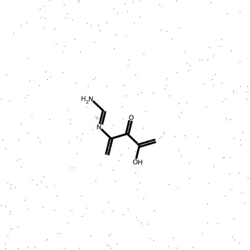 C=C(O)C(=O)C(=C)/N=C/N